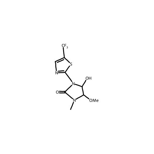 COC1C(O)N(c2ncc(C(F)(F)F)s2)C(=O)N1C